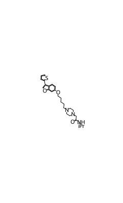 CC(C)NC(=O)CN1CCN(CCCCCOc2ccc3c(-c4cccs4)coc3c2)CC1